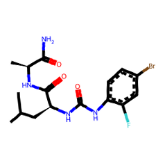 CC(C)C[C@H](NC(=O)Nc1ccc(Br)cc1F)C(=O)N[C@@H](C)C(N)=O